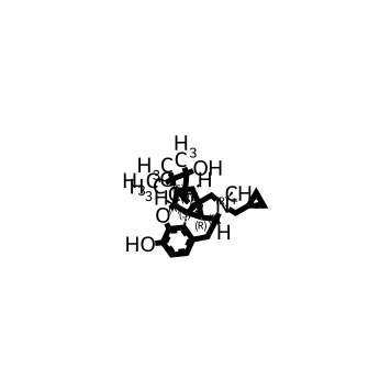 CO[C@]12CC34C[N@@+](C)(CC5CC5)[C@@H]5Cc6ccc(O)c7c6[C@@]3([C@H]1O7)[C@]54C[C@@H]2C(C)(O)C(C)(C)C